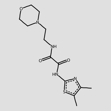 Cc1nc(NC(=O)C(=O)NCCN2CCOCC2)sc1C